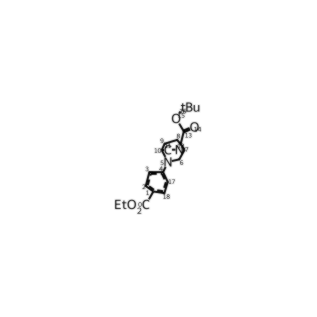 CCOC(=O)c1ccc(N2CC3CCC2CN3C(=O)OC(C)(C)C)cc1